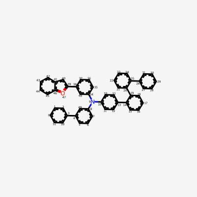 c1ccc(-c2cccc(N(c3ccc(-c4ccccc4-c4ccccc4-c4ccccc4)cc3)c3cccc(-c4cc5ccccc5o4)c3)c2)cc1